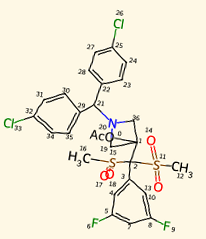 CC(=O)OC1(C(c2cc(F)cc(F)c2)(S(C)(=O)=O)S(C)(=O)=O)CN(C(c2ccc(Cl)cc2)c2ccc(Cl)cc2)C1